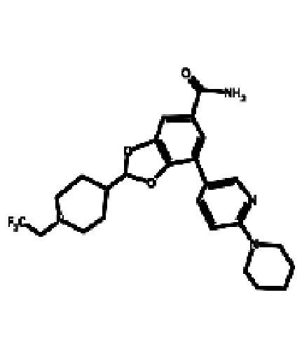 NC(=O)c1cc2c(c(-c3ccc(N4CCCCC4)nc3)c1)OC(C1CCN(CC(F)(F)F)CC1)O2